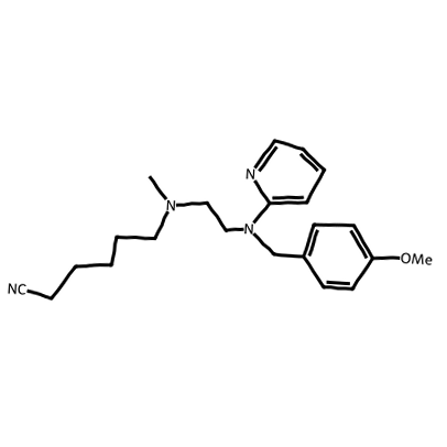 COc1ccc(CN(CCN(C)CCCCCC#N)c2ccccn2)cc1